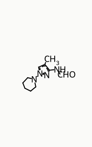 Cc1cn(N2CCCCC2)nc1NC=O